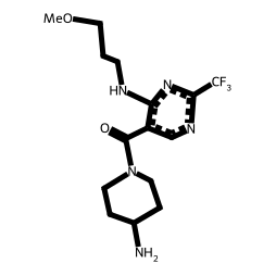 COCCCNc1nc(C(F)(F)F)ncc1C(=O)N1CCC(N)CC1